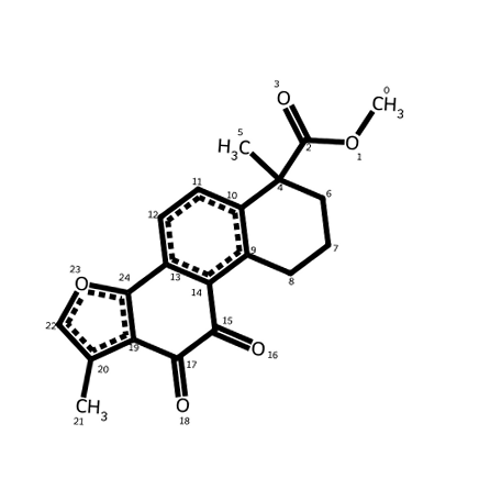 COC(=O)C1(C)CCCc2c1ccc1c2C(=O)C(=O)c2c(C)coc2-1